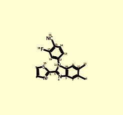 Cc1cc2nc(-c3nccs3)n(-c3ccc(C#N)c(F)c3)c2cc1C